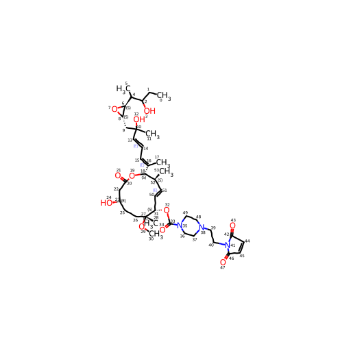 CCC(O)C(C)[C@@H]1O[C@H]1CC(C)(O)/C=C/C=C(\C)[C@H]1OC(=O)C[C@H](O)CC[C@@](C)(OC)[C@@H](OC(=O)N2CCN(CCN3C(=O)C=CC3=O)CC2)/C=C/[C@@H]1C